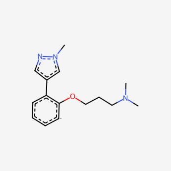 CN(C)CCCOc1[c]cccc1-c1cnn(C)c1